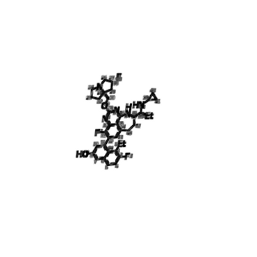 CCc1c(F)ccc2cc(O)cc(-c3cc4c5c(nc(OC[C@@]67CCCN6C[C@H](F)C7)nc5c3F)N[C@@H]([C@H](CC)NC3CC3)CC4)c12